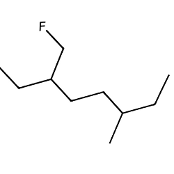 CCC(C)CCC(CC)CF